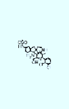 Cc1nc([C@@]2(N)c3ccc(NS(C)(=O)=O)cc3CC23CCNCC3)c(CO)nc1-c1cccc(Cl)c1Cl